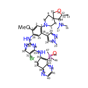 COc1cc(N2CCC3(CC2)CO[C@@H](C)[C@@H]3N(C)C)c(-c2cnn(C)c2)cc1Nc1ncc(Br)c(Nc2ccc3nccnc3c2P(C)(C)=O)n1